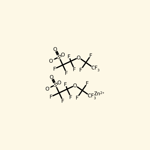 O=S(=O)([O-])C(F)(F)C(F)(F)OC(F)(F)C(F)(F)F.O=S(=O)([O-])C(F)(F)C(F)(F)OC(F)(F)C(F)(F)F.[Zn+2]